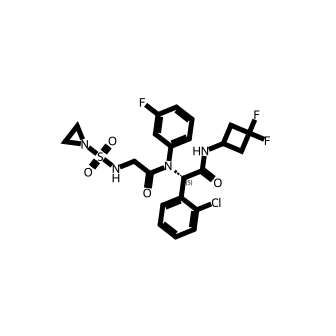 O=C(NC1CC(F)(F)C1)[C@H](c1ccccc1Cl)N(C(=O)CNS(=O)(=O)N1CC1)c1cccc(F)c1